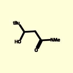 CNC(=O)CC(O)C(C)(C)C